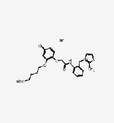 CCCCCCCCCCCCCCOc1cc(Cl)ccc1OCC(=O)Nc1ccccc1C[n+]1ccsc1C.[Br-]